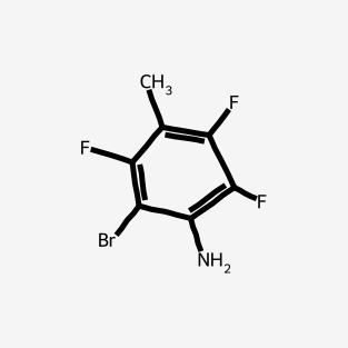 Cc1c(F)c(F)c(N)c(Br)c1F